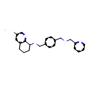 Br.COc1cnc2c(c1)CCCC2NCc1ccc(CNCc2ccccn2)cc1